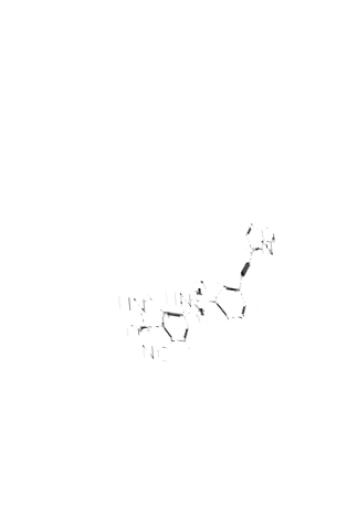 N#Cc1ccc(NS(=O)(=O)c2cccc(C#Cc3ccon3)c2)c2c1C(=O)NC2